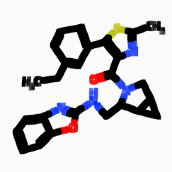 CCc1cccc(-c2sc(C)nc2C(=O)N2CC3CC3C2CNc2nc3ccccc3o2)c1